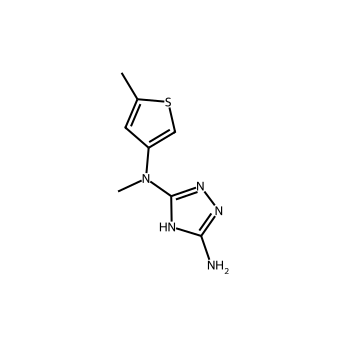 Cc1cc(N(C)c2nnc(N)[nH]2)cs1